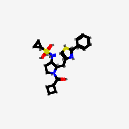 O=C(C1CCC1)N1CCC(NS(=O)(=O)C2CC2)C1Cc1csc(-c2ccccc2)n1